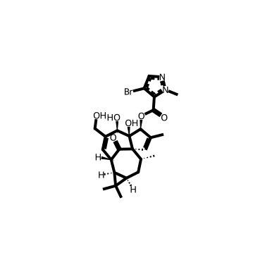 CC1=C[C@]23C(=O)[C@@H](C=C(CO)[C@@H](O)[C@]2(O)[C@H]1OC(=O)c1c(Br)cnn1C)[C@H]1[C@@H](C[C@H]3C)C1(C)C